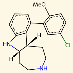 COc1ccc(Cl)cc1-c1cccc2c1[C@@H]1CCNCC[C@@H]1N2